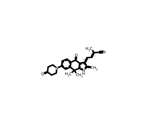 C=c1[nH]c2c(/c1=C/C=C(\C)C#N)C(=O)c1ccc(N3CCC(=O)CC3)cc1C2(C)C